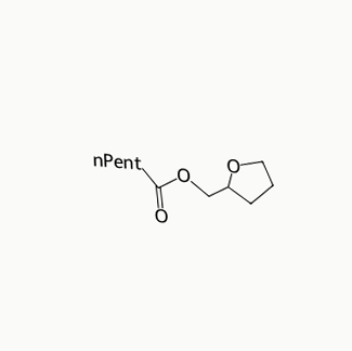 CCCCCC(=O)OCC1CCCO1